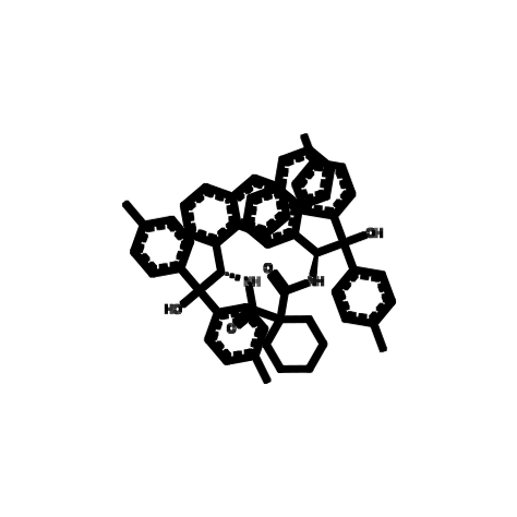 Cc1ccc(C(O)(c2ccc(C)cc2)[C@@H](NC(=O)C2(C(=O)N[C@@H](c3cccc4ccccc34)C(O)(c3ccc(C)cc3)c3ccc(C)cc3)CCCCC2)c2cccc3ccccc23)cc1